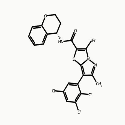 Cc1nn2c(C(C)C)c(C(=O)N[C@H]3CCOc4ccccc43)sc2c1-c1cc(Cl)cc(Cl)c1Cl